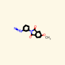 COc1ccc2c(c1)C(=O)N(c1cccc(N=[N+]=[N-])c1)C2=O